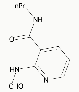 CCCNC(=O)c1cccnc1NC=O